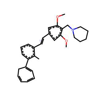 COc1cc(/C=C/c2cccc(C3=CC=CC=CC3)c2C)cc(OC)c1CN1CCCCC1